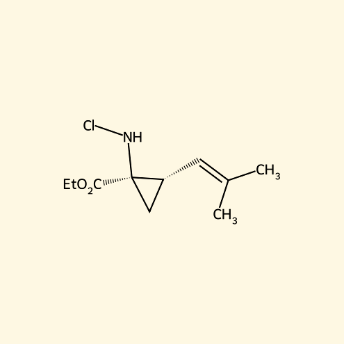 CCOC(=O)[C@@]1(NCl)C[C@H]1C=C(C)C